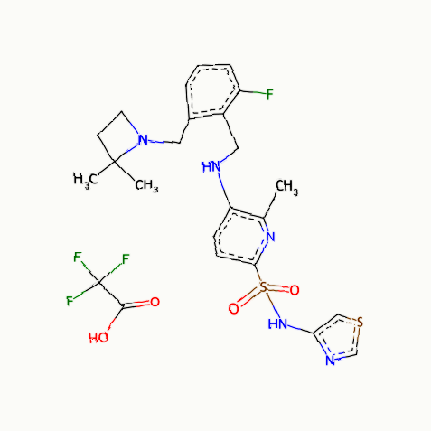 Cc1nc(S(=O)(=O)Nc2cscn2)ccc1NCc1c(F)cccc1CN1CCC1(C)C.O=C(O)C(F)(F)F